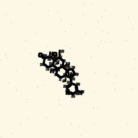 C[C@]12CC[C@H]3[C@@H](CC(F)C4(O)CC(=O)CC[C@]34C)[C@@H]1CC=C2c1cncc(F)c1